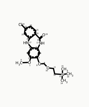 COc1cc2c(cc1OCOCC[Si](C)(C)C)NC(=O)c1ccc(Cl)cc1N2